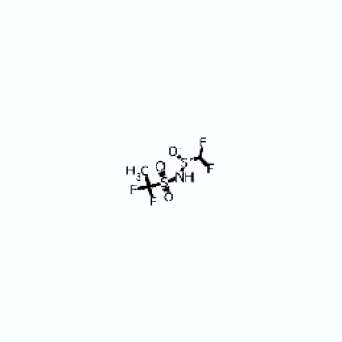 CC(F)(F)S(=O)(=O)N[S+]([O-])C(F)F